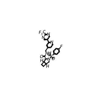 O=C(NCc1ccnc(-c2cnc(C(F)(F)F)nc2)c1)[C@@H]1[C@H]2CC[C@H]2CN1S(=O)(=O)c1ccc(F)cc1